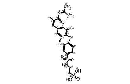 CC(=Cc1cc(F)c(Oc2ccc(S(=O)(=O)NCCP(=O)(O)O)cc2)c(F)c1)C(=O)N=C(N)N